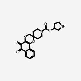 O=C1C(=O)c2ccccc2C2=C1SCC1(CCN(C(=O)OC3CCNC3)CC1)O2